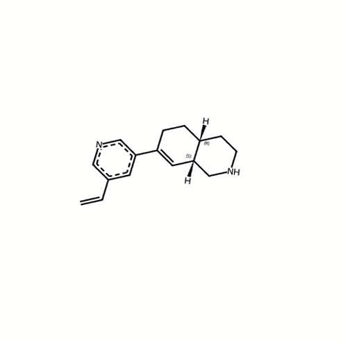 C=Cc1cncc(C2=C[C@H]3CNCC[C@H]3CC2)c1